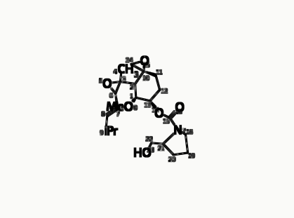 CO[C@H]1C(C2(C)O[C@@H]2/C=C/C(C)C)[C@]2(CC[C@H]1OC(=O)N1CCCC1CO)CO2